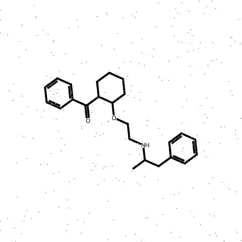 CC(Cc1ccccc1)NCCOC1CCCCC1C(=O)c1ccccc1